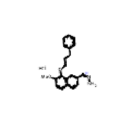 COc1ccc2ccc(/C=N\N)cc2c1OCCCc1ccccc1.Cl